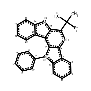 CCC(C)(C)c1nc2c3ccccc3n(-c3ccccc3)c2c2c1oc1ccccc12